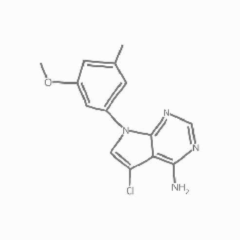 COc1cc(C)cc(-n2cc(Cl)c3c(N)ncnc32)c1